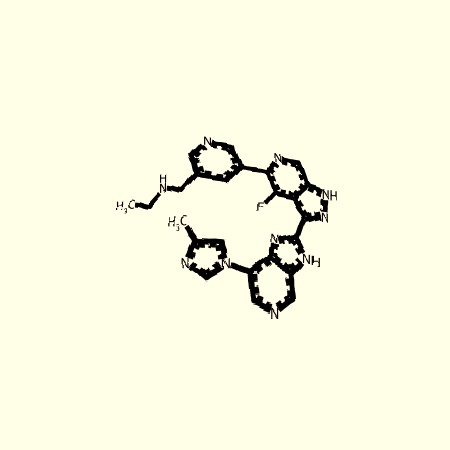 CCNCc1cncc(-c2ncc3[nH]nc(-c4nc5c(-n6cnc(C)c6)cncc5[nH]4)c3c2F)c1